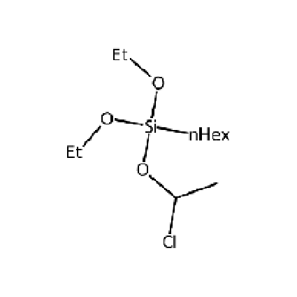 CCCCCC[Si](OCC)(OCC)OC(C)Cl